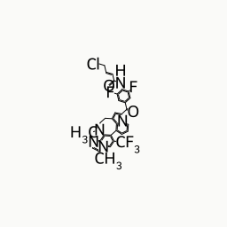 Cc1cnc2c3c(c(C(F)(F)F)cn12)-c1cccn2c(C(=O)c4cc(F)c(NC(=O)/C=C/CCl)c(F)c4)cc(c12)CCN3C